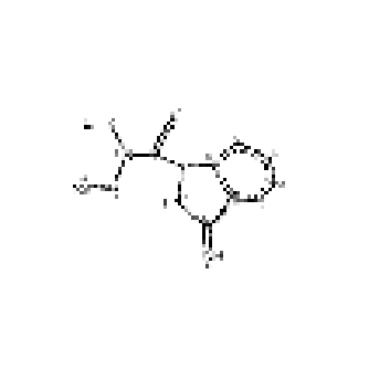 CCN(N=N)C(=O)C1NC(=N)c2ccccc21